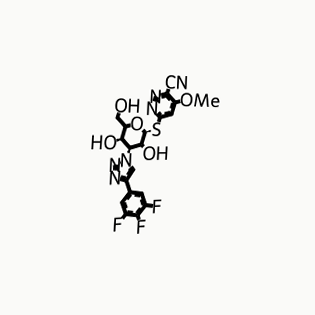 COc1cc(S[C@H]2OC(CO)[C@H](O)[C@H](n3cc(-c4cc(F)c(F)c(F)c4)nn3)C2O)nnc1C#N